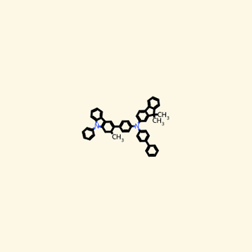 CC1Cc2c(c3ccccc3n2-c2ccccc2)C=C1c1ccc(N(c2ccc(-c3ccccc3)cc2)c2ccc3c(c2)C(C)(C)c2ccccc2-3)cc1